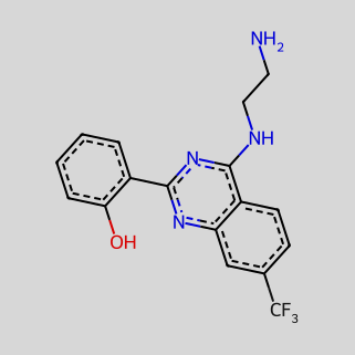 NCCNc1nc(-c2ccccc2O)nc2cc(C(F)(F)F)ccc12